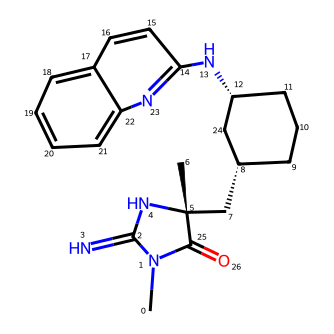 CN1C(=N)N[C@](C)(C[C@H]2CCC[C@@H](Nc3ccc4ccccc4n3)C2)C1=O